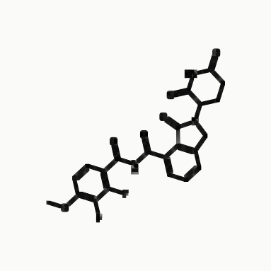 COc1ccc(C(=O)NC(=O)c2cccc3c2C(=O)N(C2CCC(=O)NC2=O)C3)c(F)c1F